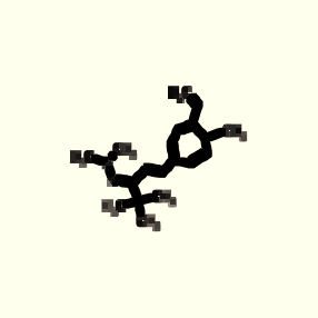 C=CC1=CC=C(/C=C/C(=N\N(C)C)C(C)(C)C)C=CC1C